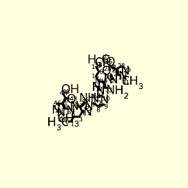 CCCCc1nn(-c2ccnc(-n3nc(CCCC)c(/N=N/c4c(C(=O)OC)cnn4C)c3N)n2)c(N)c1/N=N/c1c(C(=O)CO)cnn1C